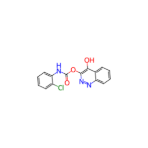 O=C(Nc1ccccc1Cl)Oc1nnc2ccccc2c1O